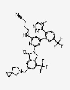 Cn1cnnc1-c1ccc(C(F)(F)F)cc1-c1cc(NCCCC#N)nc(N2Cc3c(cc(CN4CCC5(CC5)C4)cc3C(F)(F)F)C2=O)c1